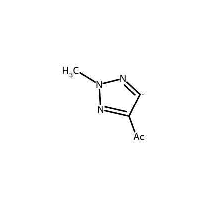 CC(=O)c1[c]nn(C)n1